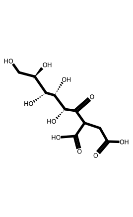 O=C(O)CC(C(=O)O)C(=O)[C@H](O)[C@@H](O)[C@H](O)[C@H](O)CO